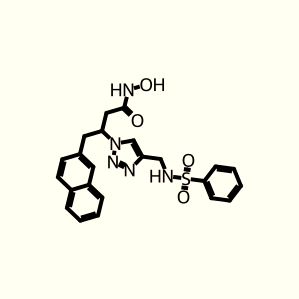 O=C(CC(Cc1ccc2ccccc2c1)n1cc(CNS(=O)(=O)c2ccccc2)nn1)NO